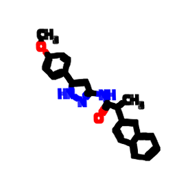 COc1ccc(-c2cc(NC(=O)C(C)c3ccc4ccccc4c3)n[nH]2)cc1